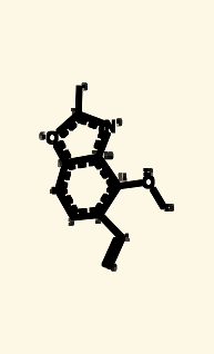 C=Cc1ccc2oc(C)nc2c1OC